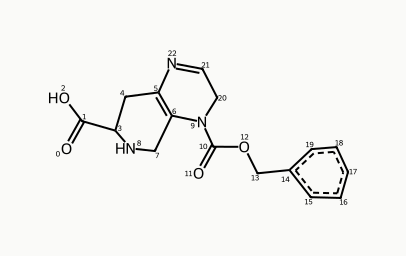 O=C(O)C1CC2=C(CN1)N(C(=O)OCc1ccccc1)CC=N2